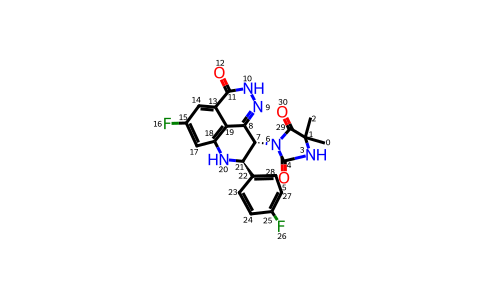 CC1(C)NC(=O)N([C@H]2c3n[nH]c(=O)c4cc(F)cc(c34)N[C@@H]2c2ccc(F)cc2)C1=O